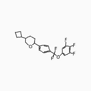 Fc1cc(OC(F)(F)c2ccc(C3CCC(C4CCC4)CO3)cc2)cc(F)c1F